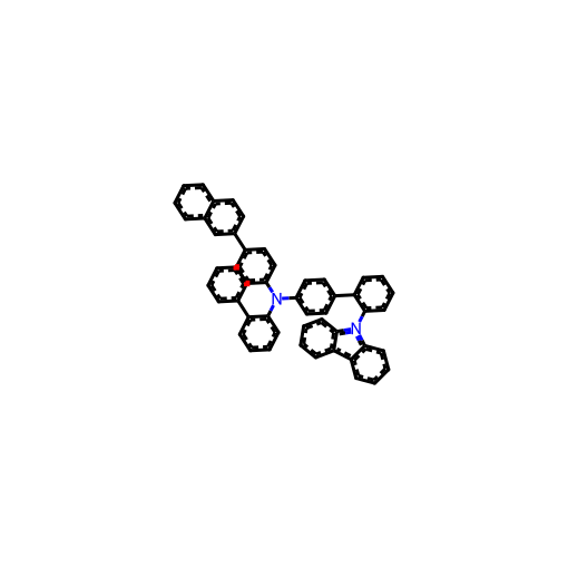 c1ccc(-c2ccccc2N(c2ccc(-c3ccc4ccccc4c3)cc2)c2ccc(-c3ccccc3-n3c4ccccc4c4ccccc43)cc2)cc1